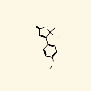 COc1ccc(C2=CC(=O)OC2(C)O)cc1